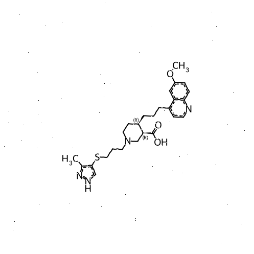 COc1ccc2nccc(CCC[C@@H]3CCN(CCCSc4c[nH]nc4C)C[C@@H]3C(=O)O)c2c1